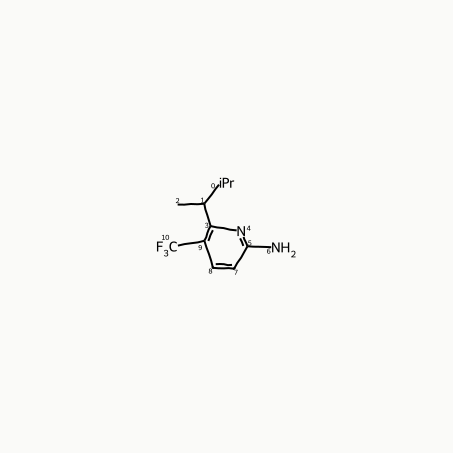 CC(C)C(C)c1nc(N)ccc1C(F)(F)F